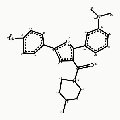 CC1CCN(C(=O)c2nc(-c3ccc(C(C)(C)C)cc3)oc2-c2cccc(N(C)C)c2)CC1